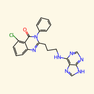 O=c1c2c(Cl)cccc2nc(CCCNc2ncnc3[nH]cnc23)n1-c1ccccc1